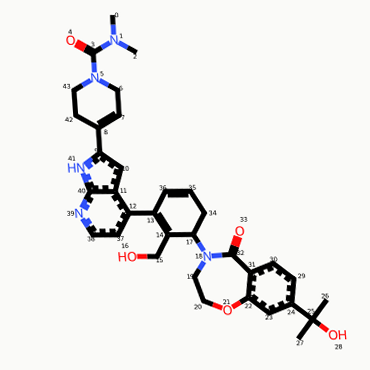 CN(C)C(=O)N1CC=C(c2cc3c(C4=C(CO)C(N5CCOc6cc(C(C)(C)O)ccc6C5=O)CC=C4)ccnc3[nH]2)CC1